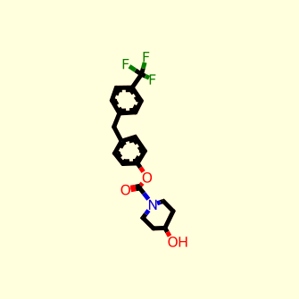 O=C(Oc1ccc(Cc2ccc(C(F)(F)F)cc2)cc1)N1CCC(O)CC1